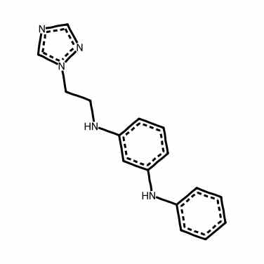 c1ccc(Nc2cccc(NCCn3cncn3)c2)cc1